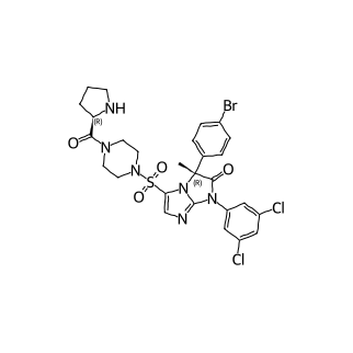 C[C@@]1(c2ccc(Br)cc2)C(=O)N(c2cc(Cl)cc(Cl)c2)c2ncc(S(=O)(=O)N3CCN(C(=O)[C@H]4CCCN4)CC3)n21